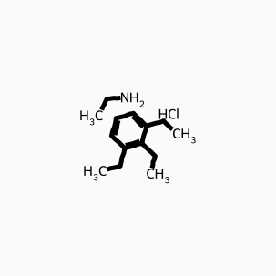 CCN.CCc1cccc(CC)c1CC.Cl